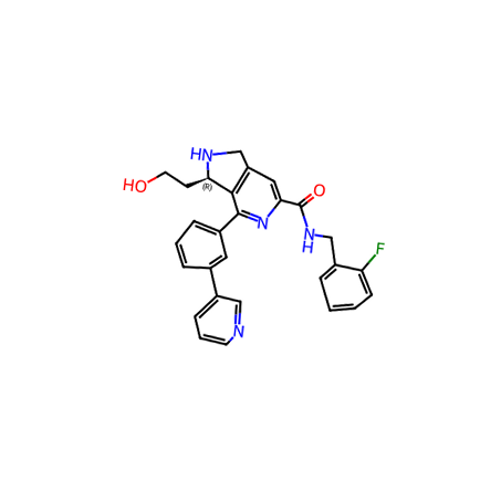 O=C(NCc1ccccc1F)c1cc2c(c(-c3cccc(-c4cccnc4)c3)n1)[C@@H](CCO)NC2